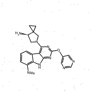 CNc1cccc2c1[nH]c1nc(Oc3cncnc3)nc(N3C[C@@H](N)C4(CC4)C3)c12